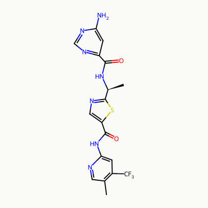 Cc1cnc(NC(=O)c2cnc([C@H](C)NC(=O)c3cc(N)ncn3)s2)cc1C(F)(F)F